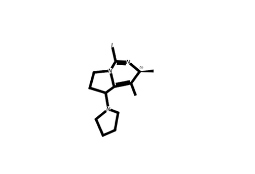 CC1=C2C(N3CCCC3)CCN2C(I)=N[C@H]1C